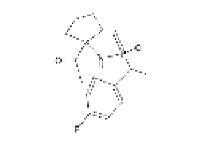 C=P(Cl)(NC1(C(C)=O)CCCC1)C(C)c1ccc(F)cc1